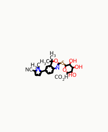 Cn1c(C#N)ccc1-c1ccc2c(c1)C(C)(C)OC(SC1OC(C(=O)O)C(O)C(O)C1O)=N2